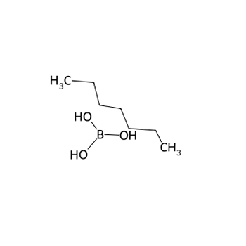 CCCCCCC.OB(O)O